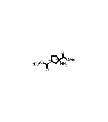 COC(=O)[C@@]1(N)C=C[C@H](C(=O)OC(C)(C)C)C1